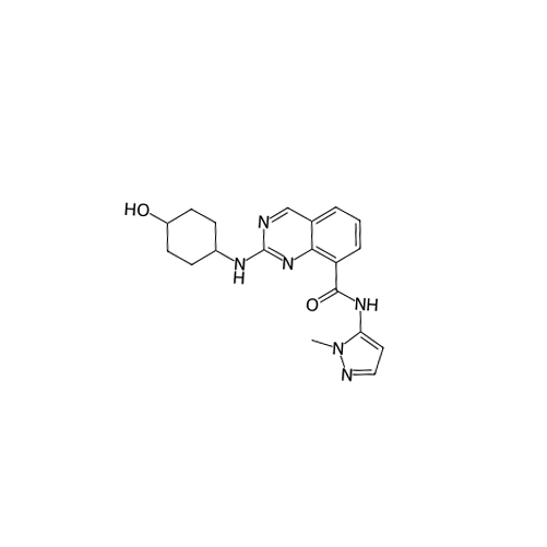 Cn1nccc1NC(=O)c1cccc2cnc(NC3CCC(O)CC3)nc12